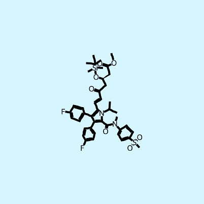 COC(=O)C[C@@H](CC(=O)C=Cc1c(-c2ccc(F)cc2)c(-c2ccc(F)cc2)c(C(=O)N(C)c2ccc(S(C)(=O)=O)cc2)n1C(C)C)O[Si](C)(C)C(C)(C)C